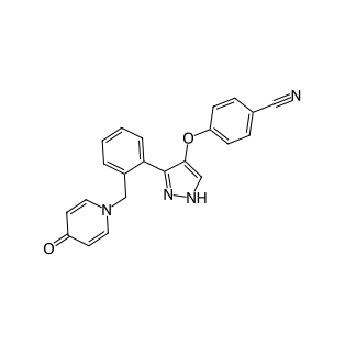 N#Cc1ccc(Oc2c[nH]nc2-c2ccccc2Cn2ccc(=O)cc2)cc1